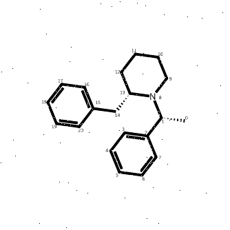 C[C@H](c1ccccc1)N1CCCC[C@H]1Cc1ccccc1